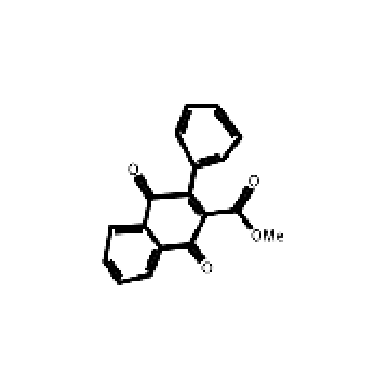 COC(=O)C1=C(c2ccccc2)C(=O)c2ccccc2C1=O